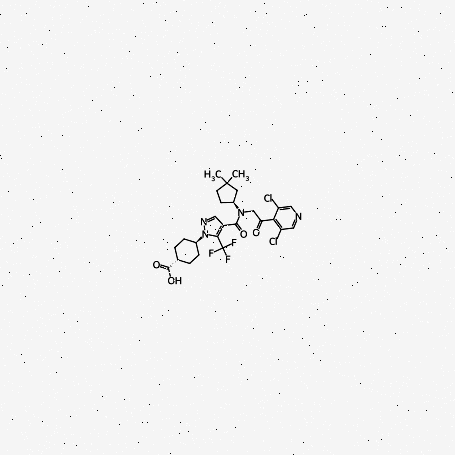 CC1(C)CC[C@H](N(CC(=O)c2c(Cl)cncc2Cl)C(=O)c2cnn([C@H]3CC[C@H](C(=O)O)CC3)c2C(F)(F)F)C1